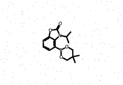 CC(C)n1c(=O)oc2cccc(B3OCC(C)(C)CO3)c21